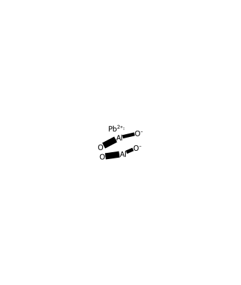 [O]=[Al][O-].[O]=[Al][O-].[Pb+2]